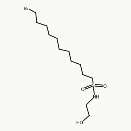 O=S(=O)(CCCCCCCCCCCBr)NCCO